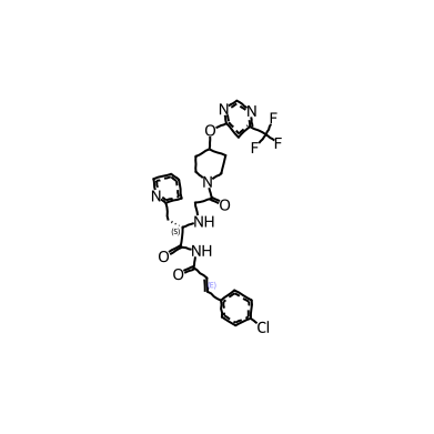 O=C(/C=C/c1ccc(Cl)cc1)NC(=O)[C@H](Cc1ccccn1)NCC(=O)N1CCC(Oc2cc(C(F)(F)F)ncn2)CC1